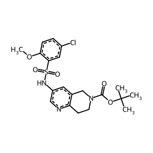 COc1ccc(Cl)cc1S(=O)(=O)Nc1cnc2c(c1)CN(C(=O)OC(C)(C)C)CC2